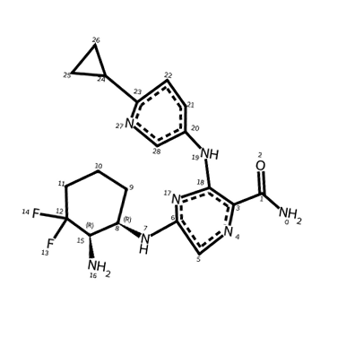 NC(=O)c1ncc(N[C@@H]2CCCC(F)(F)[C@@H]2N)nc1Nc1ccc(C2CC2)nc1